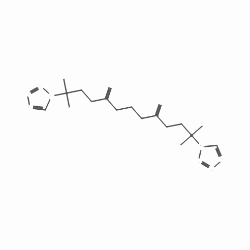 CC(C)(CCC(=O)CCCC(=O)CCC(C)(C)n1cnnn1)n1cnnn1